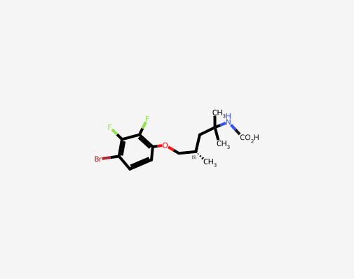 C[C@H](COc1ccc(Br)c(F)c1F)CC(C)(C)NC(=O)O